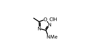 CNc1noc(C)n1.Cl